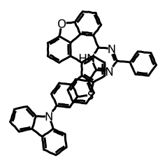 C1=CC2c3c(cccc3-c3cccc4oc5cccc(C6N=C(c7ccccc7)N=C(c7ccccc7)N6)c5c34)SC2C=C1n1c2ccccc2c2ccccc21